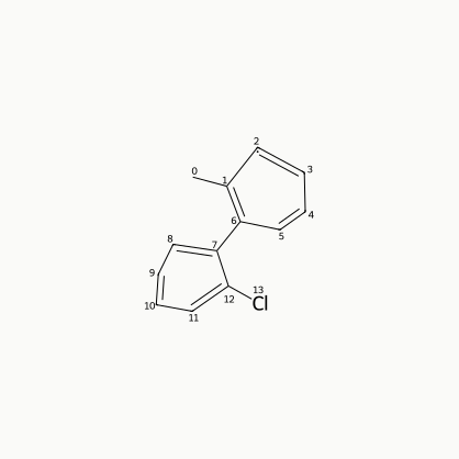 Cc1[c]cccc1-c1ccccc1Cl